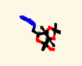 CC1(C)O[C@@H]2[C@H](CN=[N+]=[N-])OC(C)(O)[C@@H]2O1